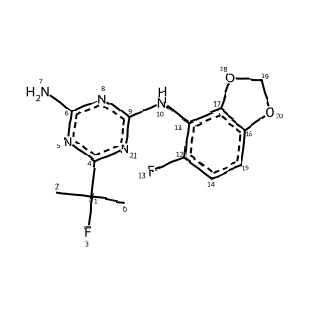 CC(C)(F)c1nc(N)nc(Nc2c(F)ccc3c2OCO3)n1